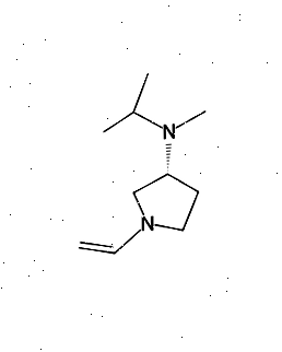 C=CN1CC[C@@H](N(C)C(C)C)C1